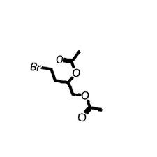 CC(=O)OCC(CCBr)OC(C)=O